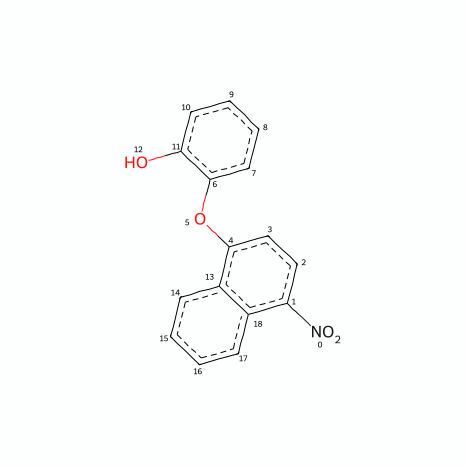 O=[N+]([O-])c1ccc(Oc2ccccc2O)c2ccccc12